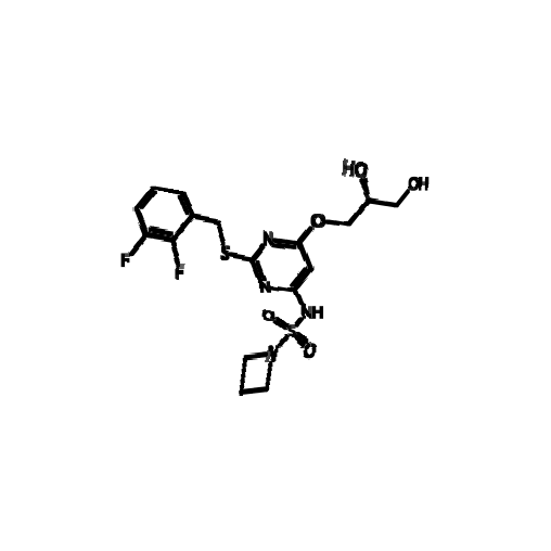 O=S(=O)(Nc1cc(OC[C@@H](O)CO)nc(SCc2cccc(F)c2F)n1)N1CCC1